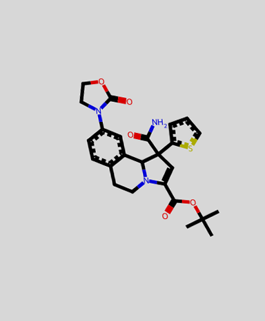 CC(C)(C)OC(=O)C1=CC(C(N)=O)(c2cccs2)C2c3cc(N4CCOC4=O)ccc3CCN12